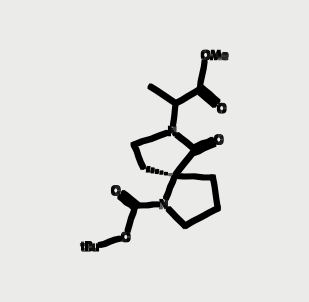 COC(=O)C(C)N1CC[C@@]2(CCCN2C(=O)OC(C)(C)C)C1=O